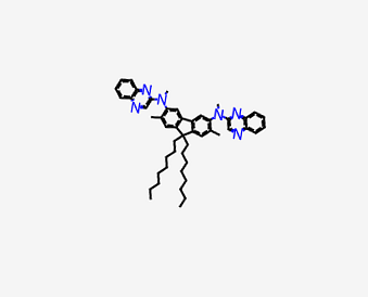 CCCCCCCCC1(CCCCCCCC)c2cc(C)c(N(C)c3cnc4ccccc4n3)cc2-c2cc(N(C)c3cnc4ccccc4n3)c(C)cc21